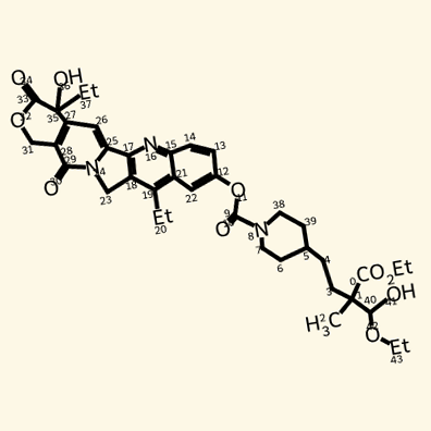 CCOC(=O)C(C)(CCC1CCN(C(=O)Oc2ccc3nc4c(c(CC)c3c2)Cn2c-4cc3c(c2=O)COC(=O)C3(O)CC)CC1)C(O)OCC